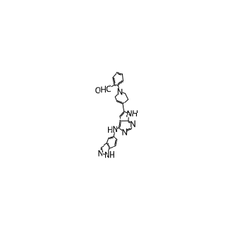 O=Cc1ccccc1N1CC=C(c2cc3c(Nc4ccc5[nH]ncc5c4)ncnc3[nH]2)CC1